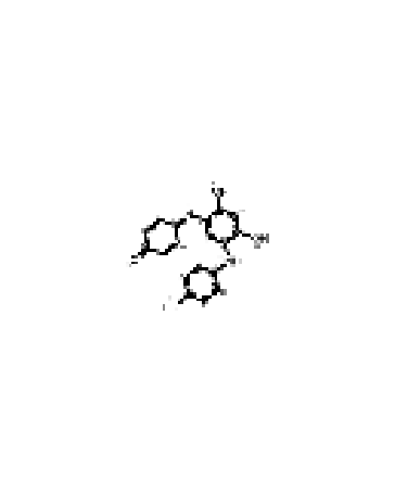 O=C1C=CC(=Nc2cc(Nc3ccc(O)cc3)c(O)cc2O)C=C1